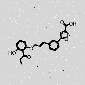 CCC(=O)c1c(O)cccc1OCC=Cc1cccc(-c2cc(C(=O)O)no2)c1